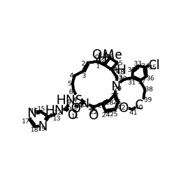 CO[C@H]1/C=C/CCCS(=O)(NC(=O)NCc2cnccn2)=NC(=O)c2ccc3c(c2)N(Cc2ccc(Cl)cc2CCCCO3)C[C@@H]2CC[C@H]21